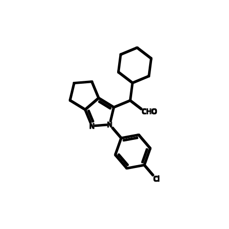 O=CC(c1c2c(nn1-c1ccc(Cl)cc1)CCC2)C1CCCCC1